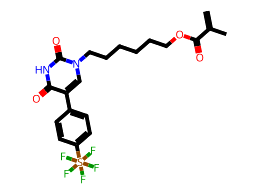 C=C(C)C(=O)OCCCCCCn1cc(-c2ccc(S(F)(F)(F)(F)F)cc2)c(=O)[nH]c1=O